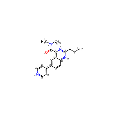 CC(C)CCc1nc(C(=O)N(C)C)c2cc(-c3ccncc3)ccc2n1